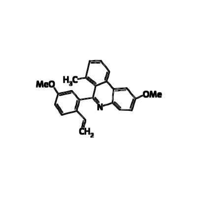 C=Cc1ccc(OC)cc1-c1nc2ccc(OC)cc2c2cccc(C)c12